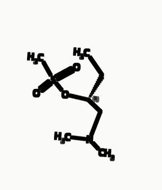 CC[C@H](CN(C)C)OS(C)(=O)=O